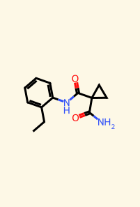 CCc1ccccc1NC(=O)C1(C(N)=O)CC1